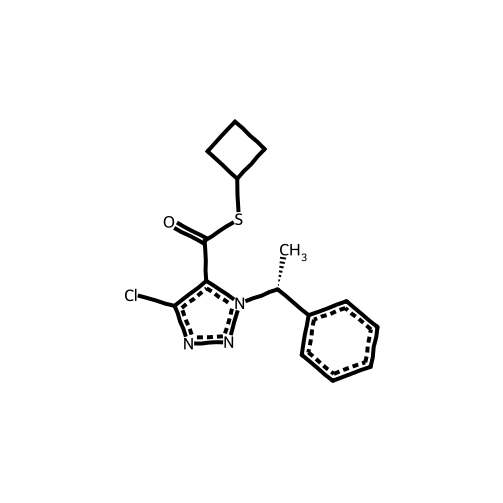 C[C@H](c1ccccc1)n1nnc(Cl)c1C(=O)SC1CCC1